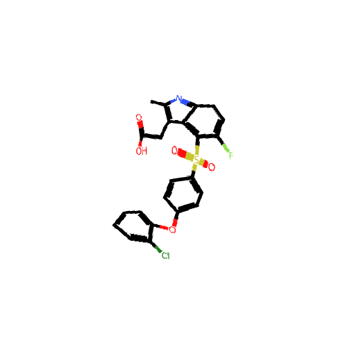 CC1=C(CC(=O)O)C2=C(S(=O)(=O)c3ccc(Oc4ccccc4Cl)cc3)C(F)=CCC2=N1